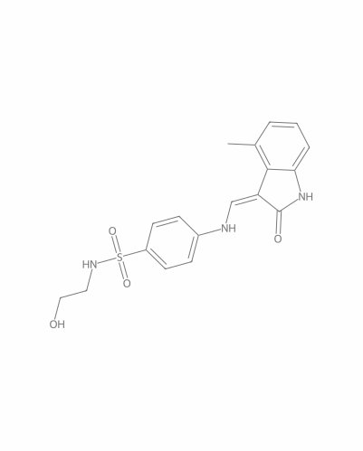 Cc1cccc2c1C(=CNc1ccc(S(=O)(=O)NCCO)cc1)C(=O)N2